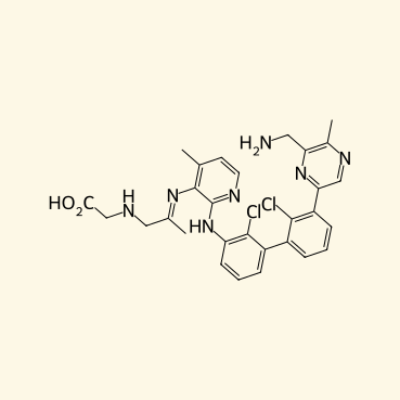 C/C(CNCC(=O)O)=N\c1c(C)ccnc1Nc1cccc(-c2cccc(-c3cnc(C)c(CN)n3)c2Cl)c1Cl